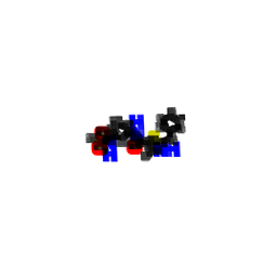 CC1NC(Cc2ccccc2)SC1C(=O)Nc1cccc(NS(C)(=O)=O)c1